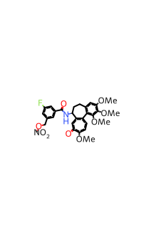 COc1cc2c(c(OC)c1OC)-c1ccc(OC)c(=O)cc1[C@@H](NC(=O)c1cc(F)cc(CO[N+](=O)[O-])c1)CC2